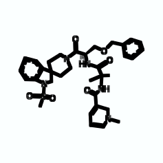 CN1C=CC=C(C(=O)NC(C)(C)C(=O)N[C@H](COCc2ccccc2)C(=O)N2CCC3(CC2)CN(S(C)(=O)=O)c2ccccc23)C1